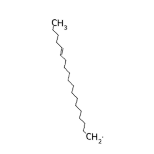 [CH2]CCCCCCCCCCCCC=CCCCC